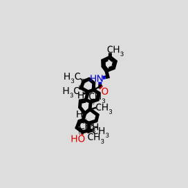 Cc1ccc(CNC(=O)[C@]23CC[C@@H](C)[C@H](C)[C@H]2C2=CC[C@@H]4[C@@]5(C)CC[C@H](O)C(C)(C)[C@@H]5CC[C@@]4(C)[C@]2(C)CC3)cc1